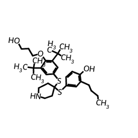 CCCCc1cc(SC2(Sc3cc(C(C)(C)C)c(OCCCO)c(C(C)(C)C)c3)CCNCC2)ccc1O